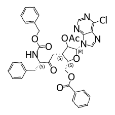 CC(=O)OC1[C@@H](CC(=O)[C@H](Cc2ccccc2)NC(=O)OCc2ccccc2)[C@@H](COC(=O)c2ccccc2)O[C@H]1n1cnc2c(Cl)ncnc21